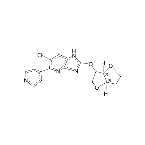 Clc1cc2[nH]c(OC3CO[C@@H]4CCO[C@H]34)nc2nc1-c1ccncc1